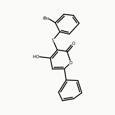 CCC(C)c1ccccc1Sc1c(O)cc(-c2ccccc2)oc1=O